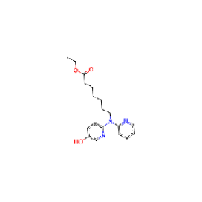 CCOC(=O)CCCCCCN(c1ccccn1)c1ccc(O)cn1